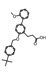 COc1ccccc1-c1ccc(OCc2ccc(C(C)(C)C)cc2)c(CCC(=O)O)c1